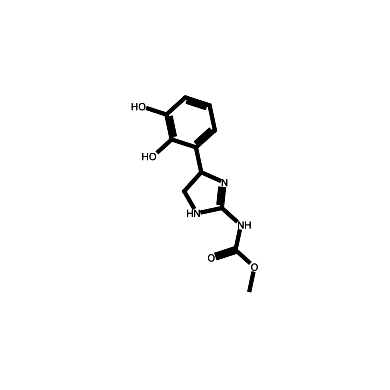 COC(=O)NC1=NC(c2cccc(O)c2O)CN1